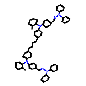 Cc1ccccc1N(c1ccc(/C=C/C=C/c2ccc(N(c3ccc(/C=N/N(c4ccccc4)c4ccccc4)cc3)c3ccccc3C)cc2)cc1)c1ccc(/C=N/N(c2ccccc2)c2ccccc2)cc1